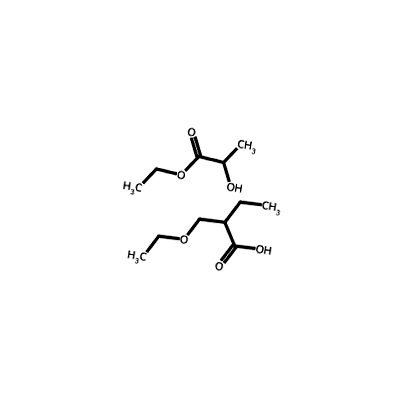 CCOC(=O)C(C)O.CCOCC(CC)C(=O)O